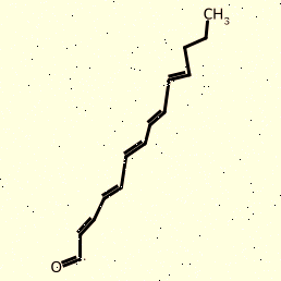 CCC/C=C/C=C/C=C/C=C/C=C/[C]=O